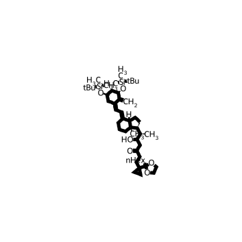 C=C1/C(=C\C=C2/CCC[C@]3(C)[C@@H]([C@H](C)C(O)CC(=O)CCC4(C5(CCCCCC)OCCO5)CC4)CC[C@@H]23)C[C@@H](O[Si](C)(C)C(C)(C)C)C[C@@H]1O[Si](C)(C)C(C)(C)C